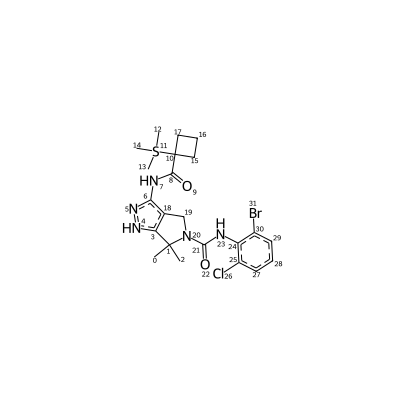 CC1(C)c2[nH]nc(NC(=O)C3(S(C)(C)C)CCC3)c2CN1C(=O)Nc1c(Cl)cccc1Br